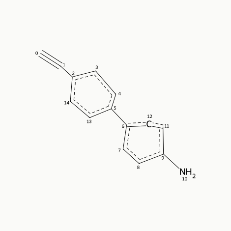 C#Cc1ccc(-c2ccc(N)cc2)cc1